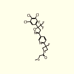 CSCC(=O)N1CC(F)(c2ccc(C3=NOC(c4cc(Cl)c(Cl)c(Cl)c4)(C(F)(F)F)C3)cn2)C1